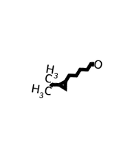 CC(C)C1CC1CCCCC=O